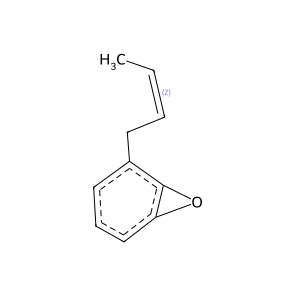 C/C=C\Cc1cccc2c1O2